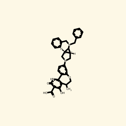 CC1COc2cc(N3C[C@@H]4C(N(Cc5ccccc5)Cc5ccccc5)[C@@H]4C3)ccc2-c2[nH]c(=O)c(C(=O)O)c(O)c21